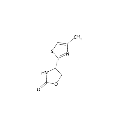 Cc1csc([C@@H]2COC(=O)N2)n1